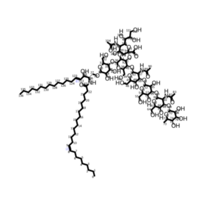 CCCCCCCC/C=C\CCCCCCCCCCCCCC(=O)N[C@@H](CO[C@@H]1OC(CO)[C@@H](O[C@@H]2OC(CO)[C@H](O[C@@H]3OC(CO)[C@H](O)[C@H](O[C@@H]4OC(CO)[C@H](O)[C@H](O[C@@H]5OC(CO)[C@H](O)[C@H](O[C@H]6OC(C)[C@@H](O)C(O)[C@@H]6O)C5NC(C)=O)C4O)C3NC(C)=O)[C@H](O[C@]3(C(=O)O)CC(O)[C@@H](NC(C)=O)C([C@H](O)[C@H](O)CO)O3)C2O)[C@H](O)C1O)[C@H](O)/C=C/CCCCCCCCCCCCC